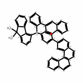 CC1(C)c2ccccc2-c2c(N(c3ccc(-c4ccc5ccc6ccc7ccccc7c6c5c4)cc3)c3ccccc3-c3ccc4ccccc4c3)cccc21